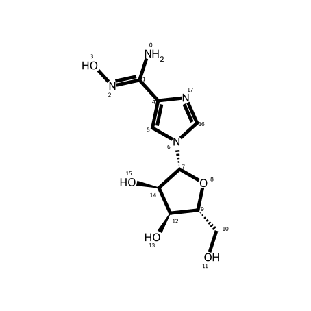 NC(=NO)c1cn([C@@H]2O[C@H](CO)[C@@H](O)[C@H]2O)cn1